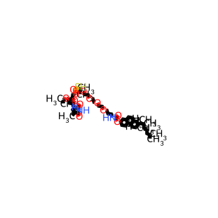 CC[C@H]1[C@@H]2CC=C3C[C@@H](OC(=O)NCCCOCCOCCOCCOC(C)(C)P(=O)(S)OCC4OC(n5cc(C)c(=O)[nH]c5=O)CC4OC(C)C)CC[C@]3(C)[C@H]2CC[C@]1(C)C[C@H](C)CCCC(C)C